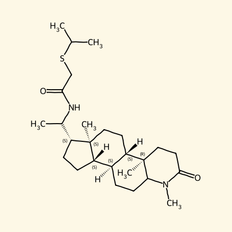 CC(C)SCC(=O)NC(C)[C@H]1CC[C@H]2[C@@H]3CCC4N(C)C(=O)CC[C@]4(C)[C@H]3CC[C@]12C